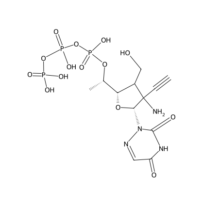 C#CC1(N)C(CO)[C@@H]([C@H](C)OP(=O)(O)OP(=O)(O)OP(=O)(O)O)O[C@H]1n1ncc(=O)[nH]c1=O